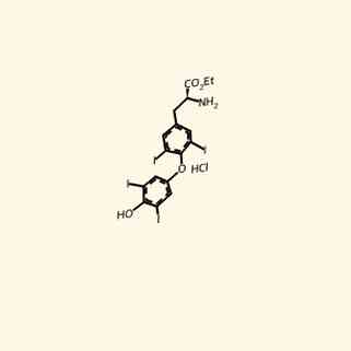 CCOC(=O)[C@@H](N)Cc1cc(I)c(Oc2cc(I)c(O)c(I)c2)c(I)c1.Cl